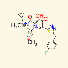 COC[C@H]1CN([C@@H](C)C2CC2)C(=O)c2c(O)c(=O)c(-c3nnc(Cc4ccc(F)cc4)s3)cn21